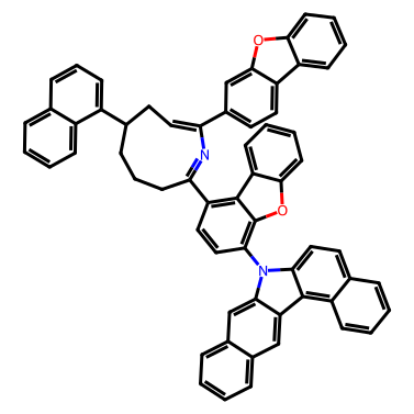 C1=C(c2ccc3c(c2)oc2ccccc23)/N=C(/c2ccc(-n3c4cc5ccccc5cc4c4c5ccccc5ccc43)c3oc4ccccc4c23)CCCC(c2cccc3ccccc23)C/1